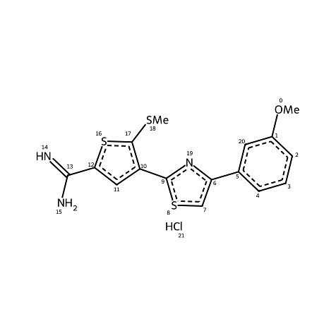 COc1cccc(-c2csc(-c3cc(C(=N)N)sc3SC)n2)c1.Cl